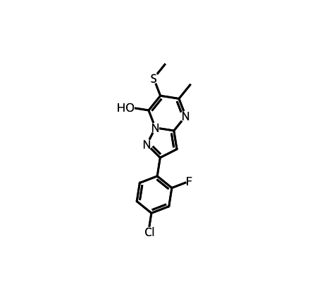 CSc1c(C)nc2cc(-c3ccc(Cl)cc3F)nn2c1O